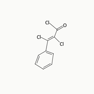 O=C(Cl)C(Cl)=C(Cl)c1ccccc1